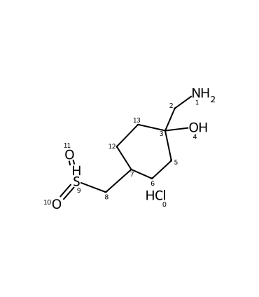 Cl.NCC1(O)CCC(C[SH](=O)=O)CC1